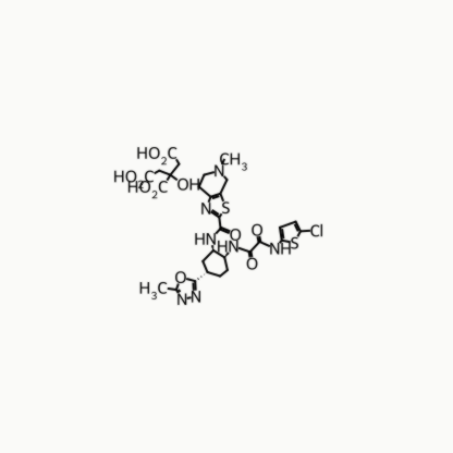 Cc1nnc([C@H]2CC[C@H](NC(=O)C(=O)Nc3ccc(Cl)s3)[C@H](NC(=O)c3nc4c(s3)CN(C)CC4)C2)o1.O=C(O)CC(O)(CC(=O)O)C(=O)O